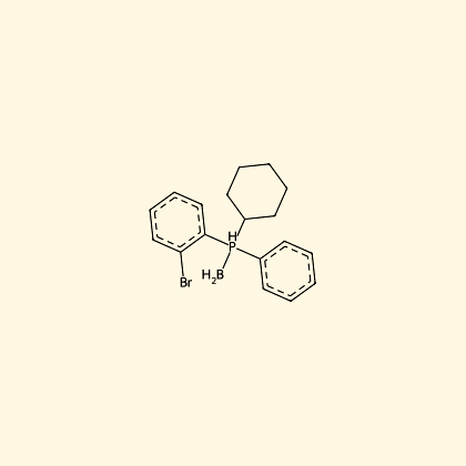 B[PH](c1ccccc1)(c1ccccc1Br)C1CCCCC1